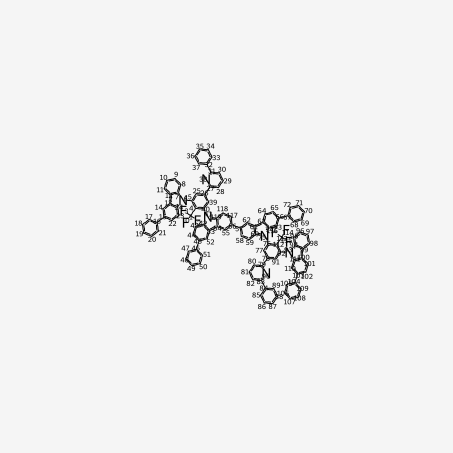 FC(F)(F)c1c(-n2c3ccccc3c3cc(-c4ccccc4)ccc32)cc(-c2cccc(-c3ccccc3)n2)cc1-n1c2ccc(-c3ccccc3)cc2c2cc(-c3ccc4c(c3)c3ccc(-c5ccccc5)cc3n4-c3cc(-c4cccc(-c5ccccc5)n4)cc(-n4c5ccccc5c5ccc(-c6ccccc6)cc54)c3C(F)(F)F)ccc21